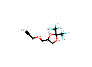 C#CCOCC1COC(C(F)(F)F)(C(F)(F)F)O1